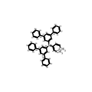 C/C=C\C(=C/C)N(c1cc(-c2ccccc2)cc(-c2ccccc2)c1)c1cc(-c2ccccc2)cc(-c2ccccc2)c1